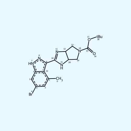 Cc1cc(Br)cc2[nH]nc(C3=NC4CN(C(=O)OC(C)(C)C)CC4N3)c12